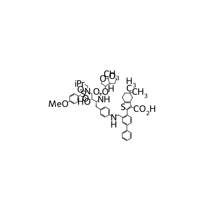 COc1ccc(S(=O)(=O)N(CC(C)C)C[C@@H](O)[C@H](Cc2ccc(NCc3cc(-c4ccccc4)ccc3-c3sc4c(c3C(=O)O)CC(C)(C)CC4)cc2)NC(=O)O[C@H]2CO[C@@]3(C)OCC[C@@H]23)cc1